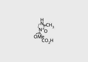 COC[C@H](CCC(=O)O)N1CCN[C@@H](C)C1=O